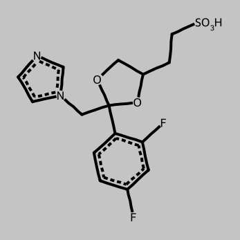 O=S(=O)(O)CCC1COC(Cn2ccnc2)(c2ccc(F)cc2F)O1